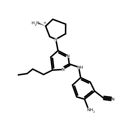 CCCCc1cc(N2CCC[C@@H](N)C2)nc(Nc2ccc(N)c(C#N)c2)n1